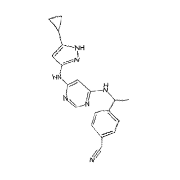 CC(Nc1cc(Nc2cc(C3CC3)[nH]n2)ncn1)c1ccc(C#N)cc1